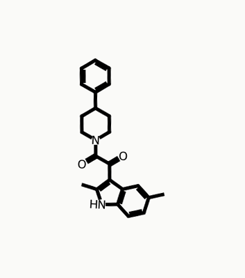 Cc1ccc2[nH]c(C)c(C(=O)C(=O)N3CCC(c4ccccc4)CC3)c2c1